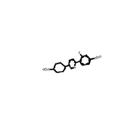 CCCCCCCCc1ccc(-c2ccc(C3CCC(CCCCCCCC)CC3)cn2)c(F)c1